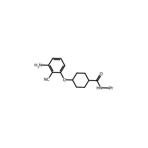 CC(C)NC(=O)C1CCC(Oc2cccc(N)c2C#N)CC1